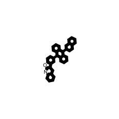 c1ccc2cc(-c3c4ccccc4c(-c4ccc5oc6nc7ccccc7cc6c5c4)c4ccccc34)ccc2c1